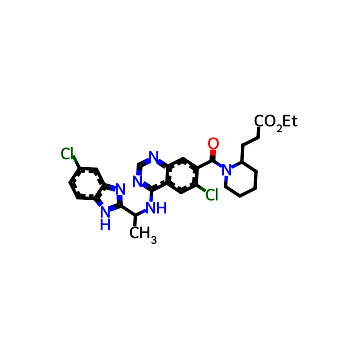 CCOC(=O)CCC1CCCCN1C(=O)c1cc2ncnc(NC(C)c3nc4cc(Cl)ccc4[nH]3)c2cc1Cl